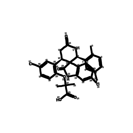 Cc1ccc(F)cc1[C@@H]1NC(=O)C[C@H](c2cc(Cl)ccc2OC(C)(C)C(=O)O)C12C(=O)Nc1cc(Cl)ccc12